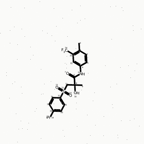 Cc1ccc(NC(=O)C(C)(O)CS(=O)(=O)c2ccc(C(C)C)cc2)cc1C(F)(F)F